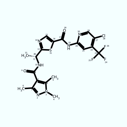 Cc1nn(C)c(C)c1C(=O)N[C@H](C)c1ncc(C(=O)Nc2cc(C(F)(F)F)c(Cl)cn2)s1